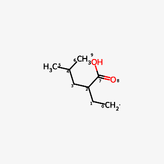 [CH2]CC(CC(C)C)C(=O)O